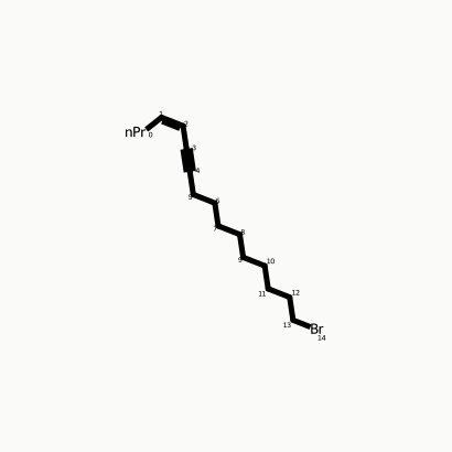 CCC/C=C\C#CCCCCCCCCCBr